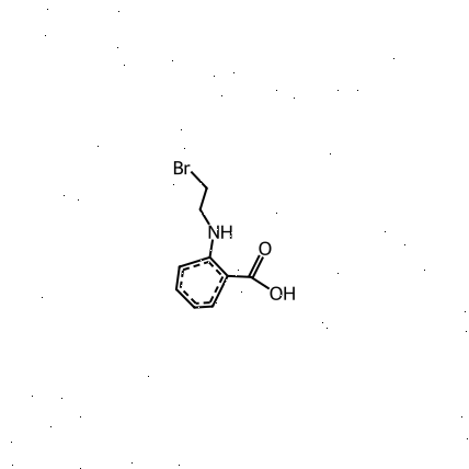 O=C(O)c1ccccc1NCCBr